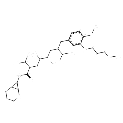 COCCCOc1cc(CC(C[C@H](N)C(O)CC(C(=O)NC2C3CCCOC32)C(C)C)C(C)C)ccc1OC